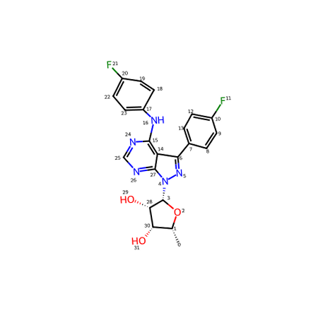 C[C@H]1O[C@@H](n2nc(-c3ccc(F)cc3)c3c(Nc4ccc(F)cc4)ncnc32)[C@@H](O)[C@H]1O